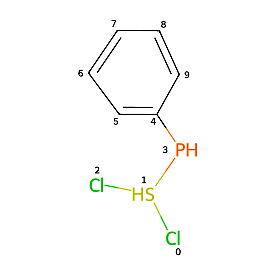 Cl[SH](Cl)Pc1ccccc1